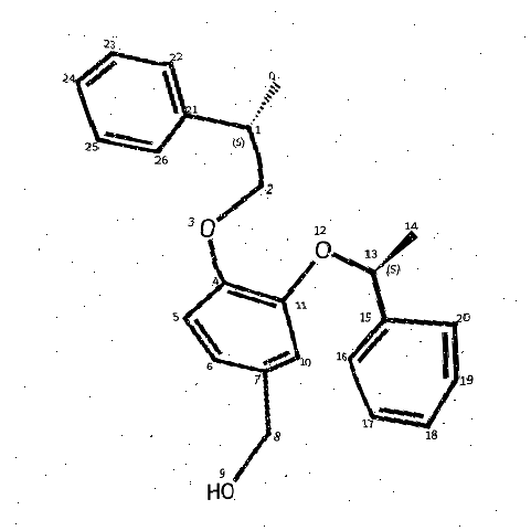 C[C@H](COc1ccc(CO)cc1O[C@@H](C)c1ccccc1)c1ccccc1